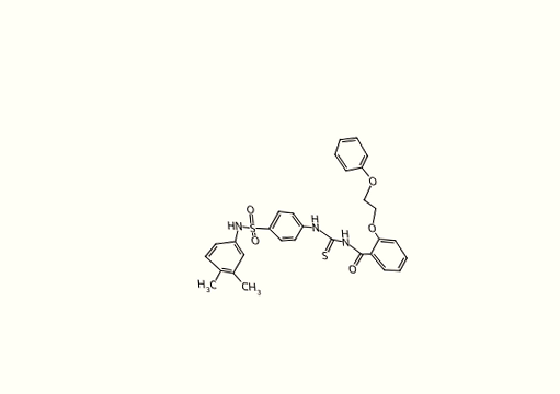 Cc1ccc(NS(=O)(=O)c2ccc(NC(=S)NC(=O)c3ccccc3OCCOc3ccccc3)cc2)cc1C